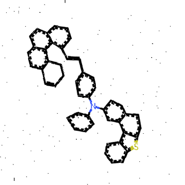 C1=Cc2ccc3ccc4cccc(C=Cc5ccc(N(c6ccccc6)c6ccc7ccc8sc9ccccc9c8c7c6)cc5)c4c3c2CC1